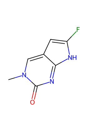 Cn1cc2cc(F)[nH]c2nc1=O